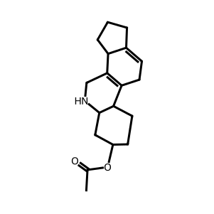 CC(=O)OC1CCC2C3=C(CNC2C1)C1CCCC1=CC3